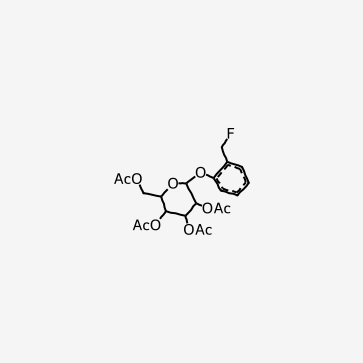 CC(=O)OCC1OC(Oc2ccccc2CF)C(OC(C)=O)C(OC(C)=O)C1OC(C)=O